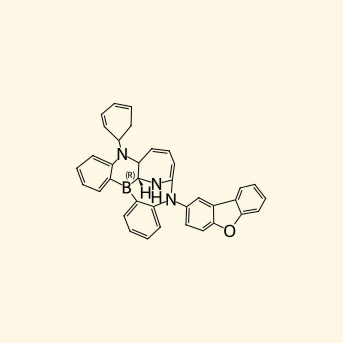 C1=CCC(N2c3ccccc3B3c4ccccc4N(c4ccc5oc6ccccc6c5c4)C4=CC=CC2[C@@H]3N4)C=C1